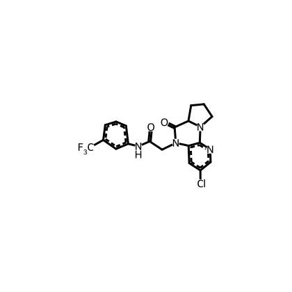 O=C(CN1C(=O)C2CCCN2c2ncc(Cl)cc21)Nc1cccc(C(F)(F)F)c1